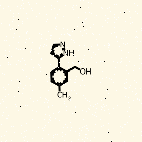 Cc1ccc(-c2ccn[nH]2)c(CO)c1